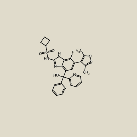 Cc1noc(C)c1-c1cc(C(O)(c2ccccn2)c2ccccn2)c2nc(NS(=O)(=O)C3CCC3)[nH]c2c1F